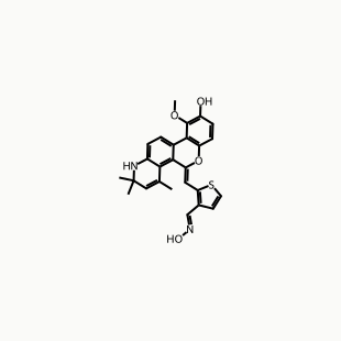 COc1c(O)ccc2c1-c1ccc3c(c1/C(=C/c1sccc1/C=N/O)O2)C(C)=CC(C)(C)N3